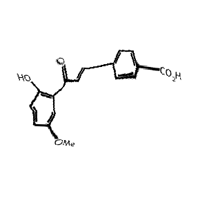 COc1ccc(O)c(C(=O)C=Cc2ccc(C(=O)O)cc2)c1